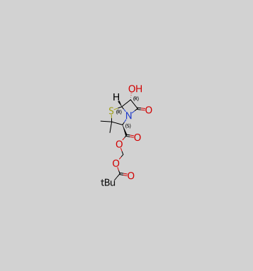 CC(C)(C)C(=O)OCOC(=O)[C@@H]1N2C(=O)[C@@H](O)[C@H]2SC1(C)C